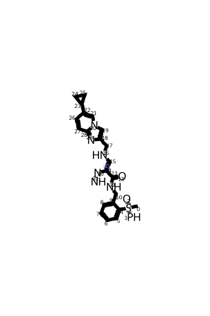 CS(=O)(=P)c1ccccc1CNC(=O)/C(=C/NCc1cn2cc(C3CC3)ccc2n1)N=N